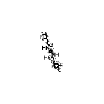 O=C(/C=C/c1cccnc1)NC12CC(NC(O)COc3ccc(Cl)c(F)c3)(C1)C2